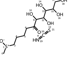 C[S+]([O-])CCCCC(=O)C(O)C(O)C(O)C(O)CO.N=C=S